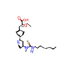 CCCCCCCNC(=S)N(C)c1ccnc(-c2ccc(C[C@H](OCC)C(=O)O)cc2)c1